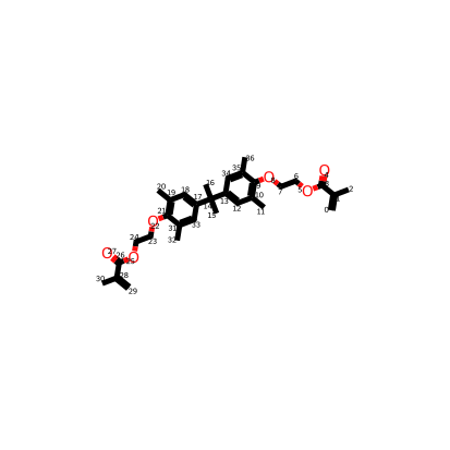 C=C(C)C(=O)OCCOc1c(C)cc(C(C)(C)c2cc(C)c(OCCOC(=O)C(=C)C)c(C)c2)cc1C